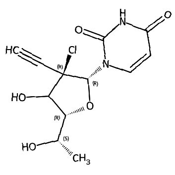 C#C[C@@]1(Cl)C(O)[C@@H]([C@H](C)O)O[C@H]1n1ccc(=O)[nH]c1=O